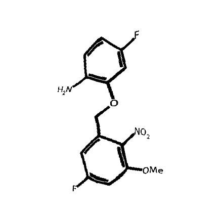 COc1cc(F)cc(COc2cc(F)ccc2N)c1[N+](=O)[O-]